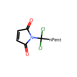 CCCCCC(Cl)(Cl)N1C(=O)C=CC1=O